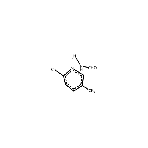 FC(F)(F)c1ccc(Cl)nc1.NNC=O